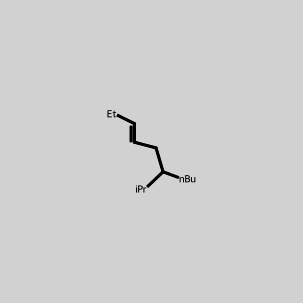 [CH2]CC=CCC(CCC[CH2])C(C)C